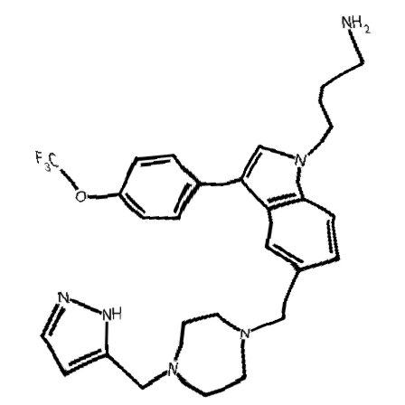 NCCCn1cc(-c2ccc(OC(F)(F)F)cc2)c2cc(CN3CCN(Cc4ccn[nH]4)CC3)ccc21